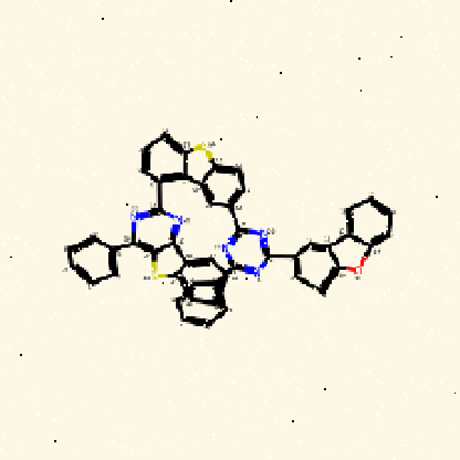 c1ccc(-c2nc(-c3ccc4oc5ccccc5c4c3)nc(-c3ccc4sc5cccc(-c6nc(-c7ccccc7)c7sc8ccccc8c7n6)c5c4c3)n2)cc1